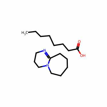 C1CCC2=NCCCN2CC1.CCCCCCCC(=O)O